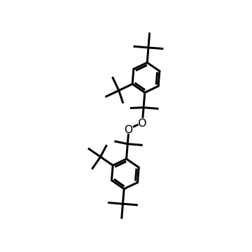 CC(C)(C)c1ccc(C(C)(C)OOC(C)(C)c2ccc(C(C)(C)C)cc2C(C)(C)C)c(C(C)(C)C)c1